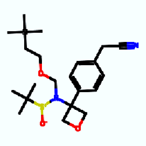 CC(C)(C)[S+]([O-])N(COCC[Si](C)(C)C)C1(c2ccc(CC#N)cc2)COC1